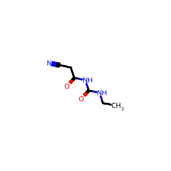 CCNC(=O)NC(=O)CC#N